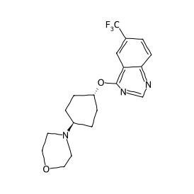 FC(F)(F)c1ccc2ncnc(O[C@H]3CC[C@H](N4CCOCC4)CC3)c2c1